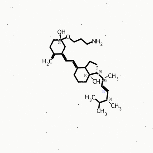 C=C1CC[C@](O)(OCCCN)CC1=CC=C1CCC[C@@]2(C)C1CC[C@@H]2[C@H](C)/C=C/[C@H](C)C(C)C